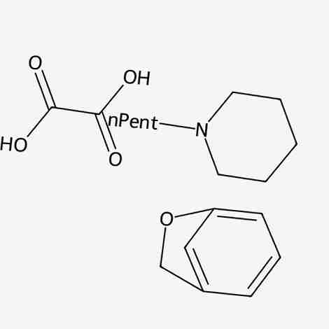 CCCCCN1CCCCC1.O=C(O)C(=O)O.c1cc2cc(c1)OC2